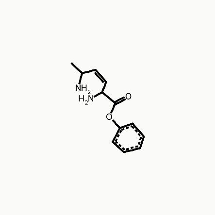 CC(N)/C=C\C(N)C(=O)Oc1ccccc1